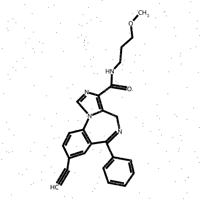 C#Cc1ccc2c(c1)C(c1ccccc1)=NCc1c(C(=O)NCCCOC)ncn1-2